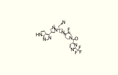 CN1CC(c2ncnc3[nH]ccc23)=CN1C1(CC#N)CN([C@@H]2CCN(C(=O)c3ccnc(C(F)(F)F)n3)C[C@@H]2F)C1